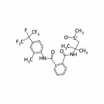 Cc1cc(C(F)(C(F)(F)F)C(F)(F)F)ccc1NC(=O)c1ccccc1C(=O)NC(C)(C)C[S+](C)[O-]